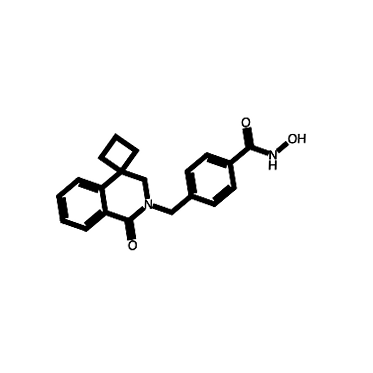 O=C(NO)c1ccc(CN2CC3(CCC3)c3ccccc3C2=O)cc1